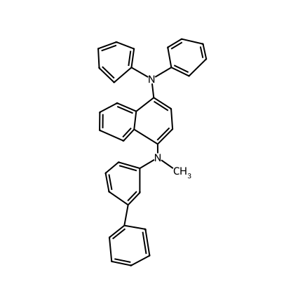 CN(c1cccc(-c2ccccc2)c1)c1ccc(N(c2ccccc2)c2ccccc2)c2ccccc12